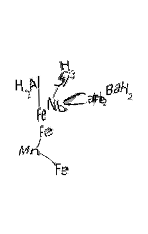 [AlH2][Fe].[BaH2].[CaH2].[Fe].[Fe][Mn][Fe].[SiH3][Nb]